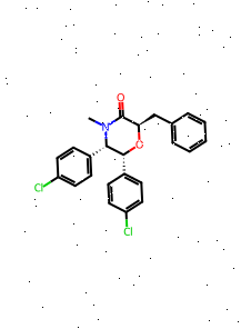 CN1C(=O)[C@@H](Cc2ccccc2)O[C@H](c2ccc(Cl)cc2)[C@@H]1c1ccc(Cl)cc1